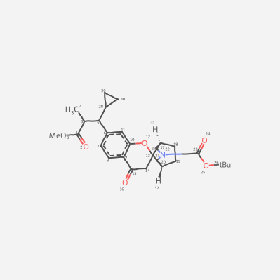 COC(=O)C(C)C(c1ccc2c(c1)OC1(CC2=O)[C@@H]2CC[C@H]1CN(C(=O)OC(C)(C)C)C2)C1CC1